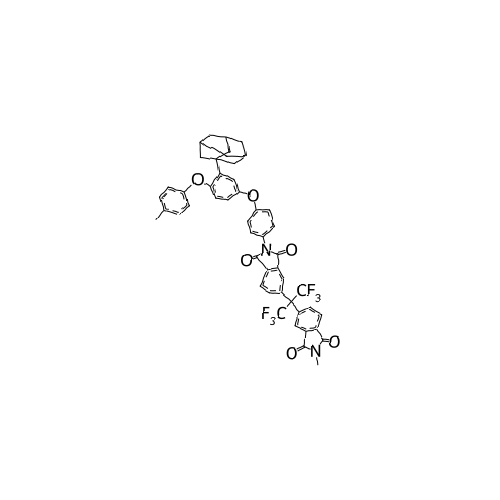 Cc1ccc(Oc2ccc(Oc3ccc(N4C(=O)c5ccc(C(c6ccc7c(c6)C(=O)N(C)C7=O)(C(F)(F)F)C(F)(F)F)cc5C4=O)cc3)cc2C23CC4CC(CC(C4)C2)C3)cc1